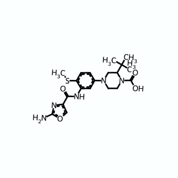 CSc1ccc(N2CCN(C(=O)O)C(C(C)(C)C)C2)cc1NC(=O)c1coc(N)n1